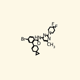 Cc1cc(NC(=O)c2ccc(Br)cc2C2=CCC3(CC2)CC3)nc(N2CCC(F)(F)CC2)n1